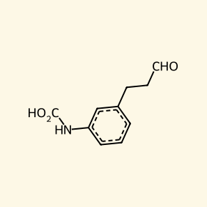 O=CCCc1cccc(NC(=O)O)c1